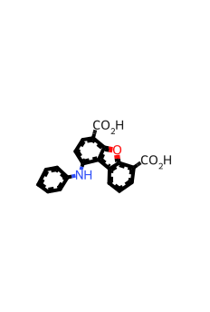 O=C(O)c1cccc2c1oc1c(C(=O)O)ccc(Nc3ccccc3)c12